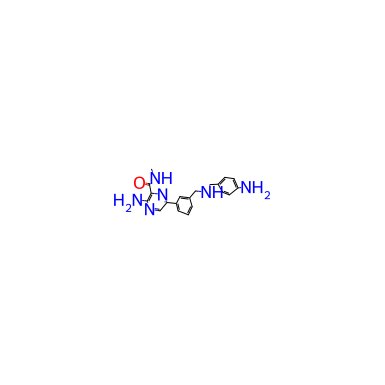 CNC(=O)c1nc(-c2cccc(CNCc3ccc(N)cc3)c2)cnc1N